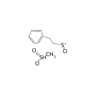 C[SH](=O)=O.O=[S+]CCc1ccccc1